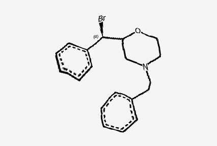 Br[C@H](c1ccccc1)C1CN(Cc2ccccc2)CCO1